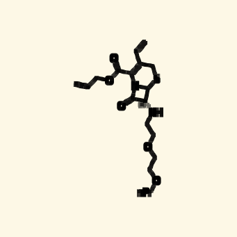 C=CCOC(=O)C1=C(C=C)CSC2[C@H](NCCOCCOCCC)C(=O)N12